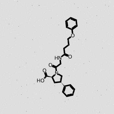 O=C(CCCOc1ccccc1)NCC(=O)N1C[C@H](c2ccccc2)C[C@H]1C(=O)O